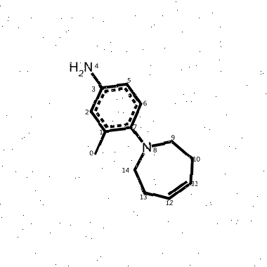 Cc1cc(N)ccc1N1CCC=CCC1